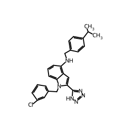 CC(C)c1ccc(CNc2cccc3c2cc(-c2nnn[nH]2)n3Cc2cccc(Cl)c2)cc1